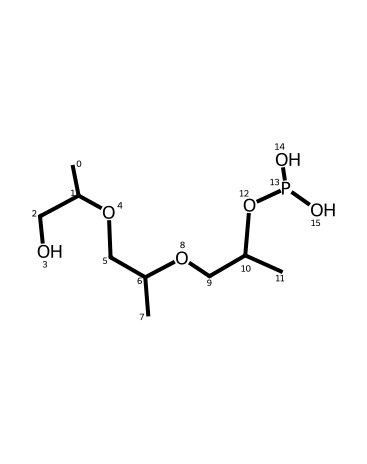 CC(CO)OCC(C)OCC(C)OP(O)O